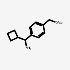 COCc1ccc(C(N)C2CCC2)cc1